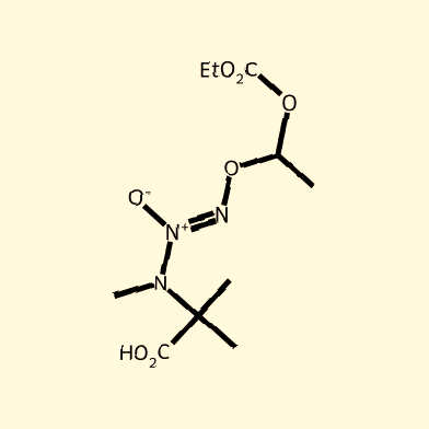 CCOC(=O)OC(C)ON=[N+]([O-])N(C)C(C)(C)C(=O)O